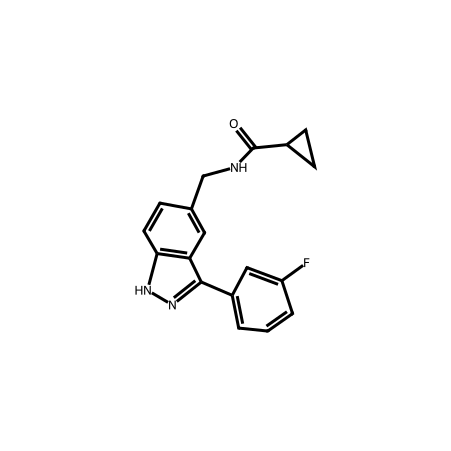 O=C(NCc1ccc2[nH]nc(-c3cccc(F)c3)c2c1)C1CC1